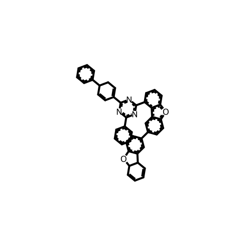 C1=CC2Oc3ccc(-c4ccc5oc6cccc(-c7nc(C8=CCC(c9ccccc9)C=C8)nc(-c8ccccc8)n7)c6c5c4)cc3C2C=C1